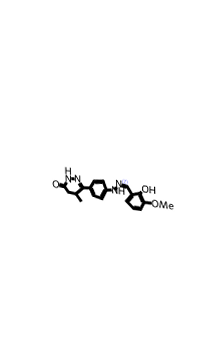 COc1cccc(/C=N\Nc2ccc(C3=NNC(=O)CC3C)cc2)c1O